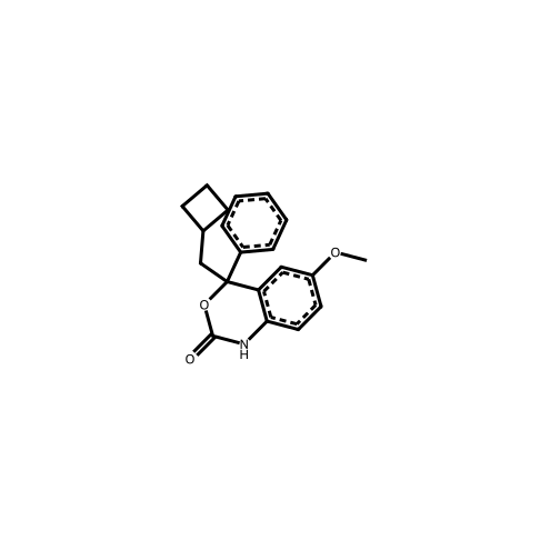 COc1ccc2c(c1)C(CC1CCC1)(c1ccccc1)OC(=O)N2